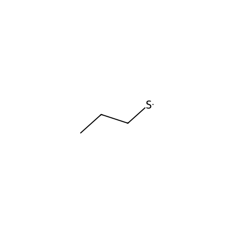 CCC[S]